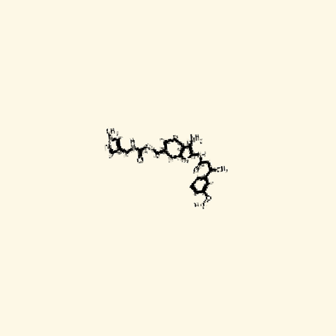 COc1cccc(C(C)CC(=O)Nc2sc3c(c2N)CCC(COC(=O)NCc2cnn(C)c2)C3)c1